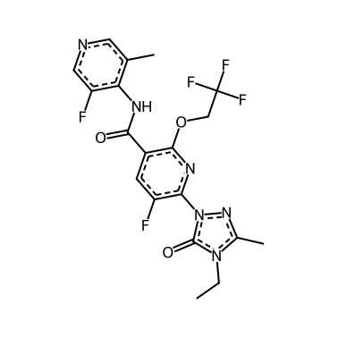 CCn1c(C)nn(-c2nc(OCC(F)(F)F)c(C(=O)Nc3c(C)cncc3F)cc2F)c1=O